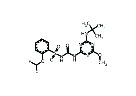 COc1nc(NC(=O)NS(=O)(=O)c2ccccc2OC(F)F)nc(NC(C)(C)C)n1